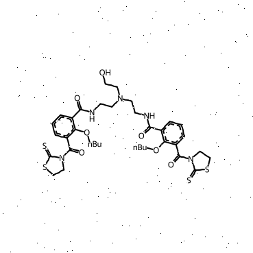 CCCCOc1c(C(=O)NCCN(CCO)CCNC(=O)c2cccc(C(=O)N3CCSC3=S)c2OCCCC)cccc1C(=O)N1CCSC1=S